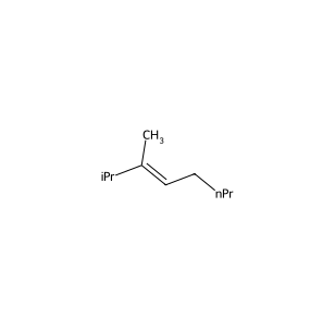 CCCC/C=C(\C)C(C)C